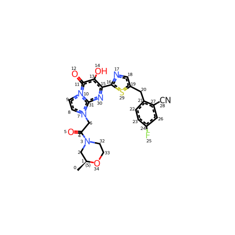 C[C@H]1CN(C(=O)Cn2ccn3c(=O)c(O)c(-c4ncc(Cc5ccc(F)cc5C#N)s4)nc23)CCO1